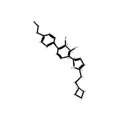 CCCc1ccc(-c2ccc(-c3ccc(CCC4CCC4)s3)c(F)c2F)cc1